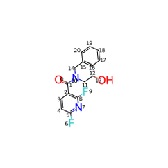 O=C(c1ccc(F)nc1F)N(CCO)Cc1ccccc1